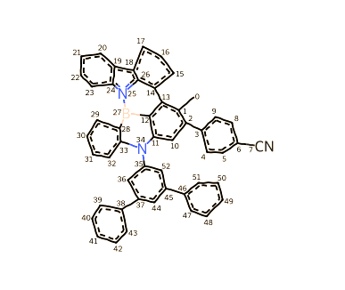 Cc1c(-c2ccc(C#N)cc2)cc2c3c1-c1cccc4c5ccccc5n(c14)B3c1ccccc1N2c1cc(-c2ccccc2)cc(-c2ccccc2)c1